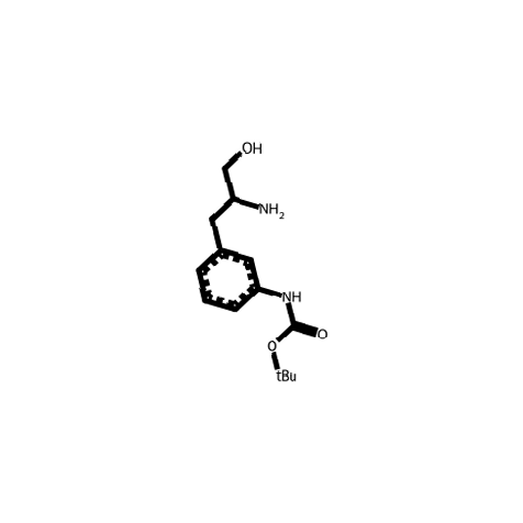 CC(C)(C)OC(=O)Nc1cccc(CC(N)CO)c1